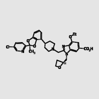 CCOc1cc(C(=O)O)cc2c1nc(CN1CCC(c3cccc4c3OC(C)(c3ccc(Cl)cn3)O4)CC1)n2C[C@@H]1CCO1